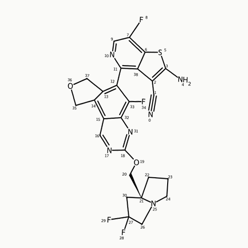 N#Cc1c(N)sc2c(F)cnc(-c3c4c(c5cnc(OC[C@@]67CCCN6CC(F)(F)C7)nc5c3F)COC4)c12